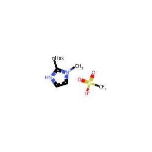 CCCCCCc1[nH]cc[n+]1C.O=S(=O)([O-])C(F)(F)F